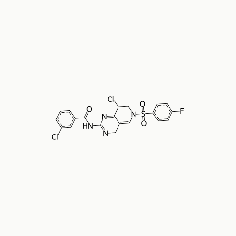 O=C(NC1=NCC2=CN(S(=O)(=O)c3ccc(F)cc3)CC(Cl)C2=N1)c1cccc(Cl)c1